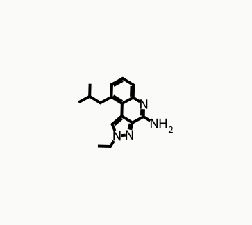 CCn1cc2c(n1)c(N)nc1cccc(CC(C)C)c12